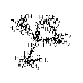 CC(=O)CCCC1OC(OCCOCCNC(=O)CN(CC(=O)NCCOCCOC2OC(COC(C)=O)C(OC(C)=O)C(OC(C)=O)C2NC(C)=O)C(Cc2ccc(CNC(=O)[C@H]3CC[C@H](OP(OCCC#N)N(C(C)C)C(C)C)CC3)cc2)C(=O)NCCOCCOC2OC(COC(C)=O)C(OC(C)=O)C(OC(C)=O)C2NC(C)=O)C(NC(C)=O)C(OC(C)=O)C1OC(C)=O